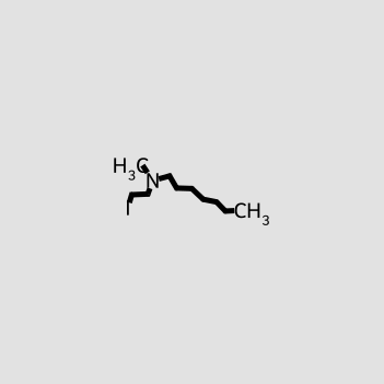 CCCCCCCN(C)CCI